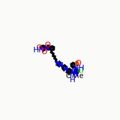 COc1cc(N2CCC(N3CCN(CCCCCCCc4cccc5c4CN(C4CCC(=O)NC4=O)C5=O)CC3)CC2)ccc1Nc1ncc(Cl)c(Nc2ccccc2P(C)(C)=O)n1